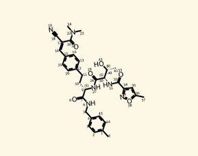 Cc1ccc(CNC(=O)[C@H](CCc2ccc(C=C(C#N)C(=O)N(C)C)cc2)NC(=O)[C@@H](NC(=O)c2cc(C)on2)[C@@H](C)O)cc1